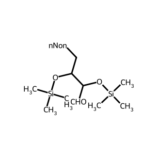 CCCCCCCCCCC(O[Si](C)(C)C)C(C=O)O[Si](C)(C)C